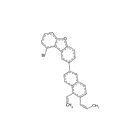 C=Cc1c(/C=C\C)ccc2cc(-c3ccc4oc5cccc(Br)c5c4c3)ccc12